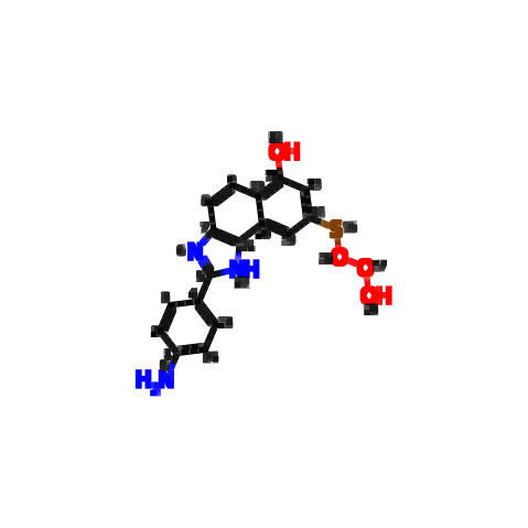 Nc1ccc(-c2nc3ccc4c(O)cc(SOOO)cc4c3[nH]2)cc1